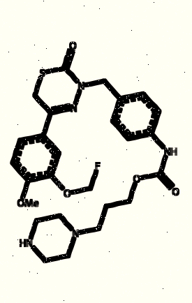 COc1ccc(C2=NN(Cc3ccc(NC(=O)OCCCN4CCNCC4)cc3)C(=O)SC2)cc1OCF